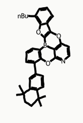 CCCCc1cccc2c3c(oc12)B1c2cccc(-c4ccc5c(c4)C(C)(C)CCC5(C)C)c2Oc2nccc(c21)O3